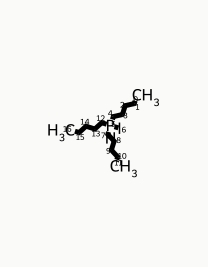 CCCCC[PH](I)(CCCCC)CCCCC